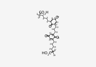 CC(C)(CCCCC1=CC(=O)C=C(CCCC2=CC(=O)C=C(CCCCC(C)(C)C(=O)O)C2=O)C1=O)C(=O)O